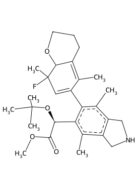 COC(=O)[C@@H](OC(C)(C)C)c1c(C)c2c(c(C)c1C1=CC(C)(F)C3OCCCC3=C1C)CNC2